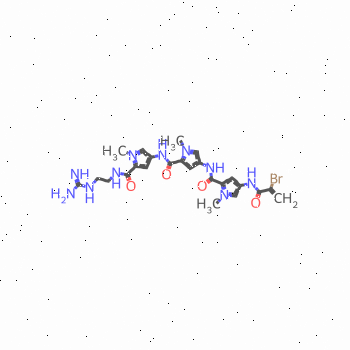 C=C(Br)C(=O)Nc1cc(C(=O)Nc2cc(C(=O)Nc3cc(C(=O)NCCNC(=N)N)n(C)c3)n(C)c2)n(C)c1